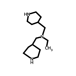 CCN(CC1CCNCC1)CC1CCNCC1